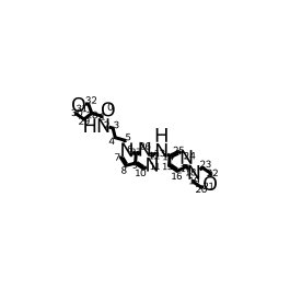 O=C(NCCCn1ccc2cnc(Nc3ccc(N4CCOCC4)nc3)nc21)C1CCOC1